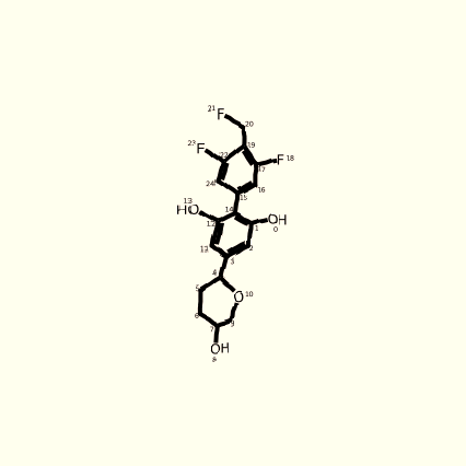 Oc1cc(C2CCC(O)CO2)cc(O)c1-c1cc(F)c(CF)c(F)c1